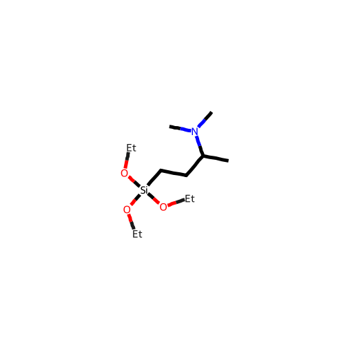 CCO[Si](CCC(C)N(C)C)(OCC)OCC